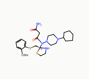 COc1ccccc1SC[C@@]1(N(C(=O)CC(N)=O)N2CCN(C3CCCCC3)CC2)NCCS1